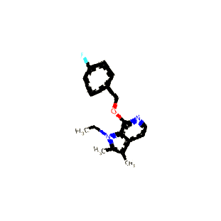 CCn1c(C)c(C)c2ccnc(OCc3ccc(F)cc3)c21